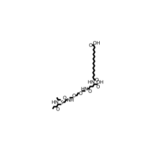 CCC(=O)C(CSCC(=O)NCCOCCOCCNC(=O)CCC(NC(=O)CCCCCCCCCCCCCCC(=O)O)C(=O)O)NC(C)C